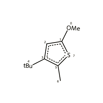 COc1cc(C(C)(C)C)c(C)s1